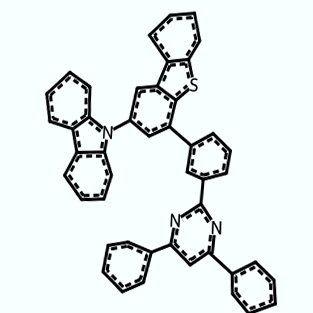 c1ccc(-c2cc(-c3ccccc3)nc(-c3cccc(-c4cc(-n5c6ccccc6c6ccccc65)cc5c4sc4ccccc45)c3)n2)cc1